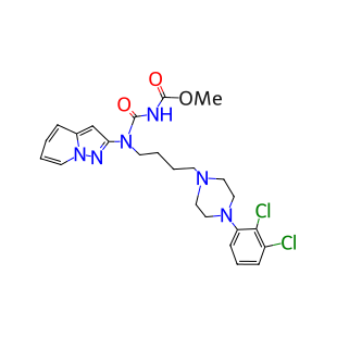 COC(=O)NC(=O)N(CCCCN1CCN(c2cccc(Cl)c2Cl)CC1)c1cc2ccccn2n1